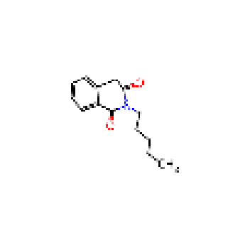 CCCCCN1C(=O)Cc2ccccc2C1=O